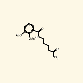 CC(=O)Oc1cccc(C(=O)NCCCCC(N)=O)c1OC(C)=O